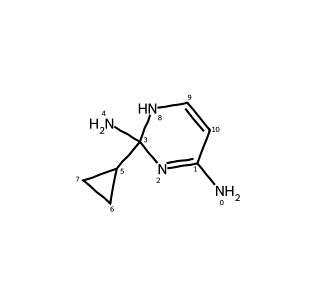 NC1=NC(N)(C2CC2)NC=C1